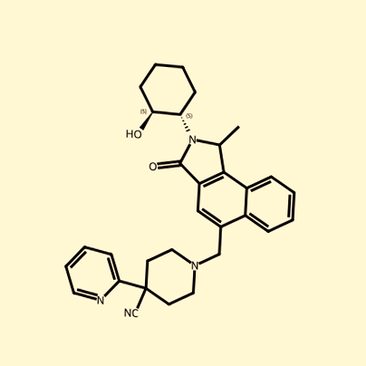 CC1c2c(cc(CN3CCC(C#N)(c4ccccn4)CC3)c3ccccc23)C(=O)N1[C@H]1CCCC[C@@H]1O